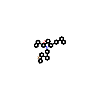 c1ccc(-c2cccc3sc4ccccc4c23)c(-c2ccc(N(c3ccc(-c4ccc(-c5cccc6ccccc56)cc4)cc3)c3ccc(-c4cccc5ccccc45)c4oc5ccccc5c34)cc2)c1